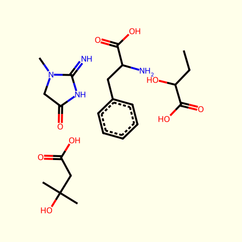 CC(C)(O)CC(=O)O.CCC(O)C(=O)O.CN1CC(=O)NC1=N.NC(Cc1ccccc1)C(=O)O